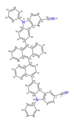 N#Cc1ccc2c(c1)c1cc(-c3ccc(-c4c5ccccc5c(-c5ccc6c(c5)c5cc(C#N)ccc5n6-c5ccccc5)c5ccccc45)c4ccccc34)ccc1n2-c1ccccc1